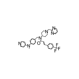 CN(c1ccncc1)c1ccc(CN(C(=O)C=Cc2ccc(C(F)(F)F)cc2)C2CCN(Cc3ncccn3)CC2)cc1